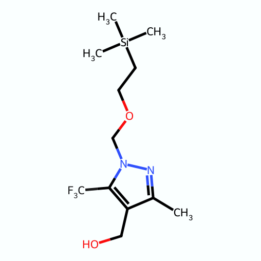 Cc1nn(COCC[Si](C)(C)C)c(C(F)(F)F)c1CO